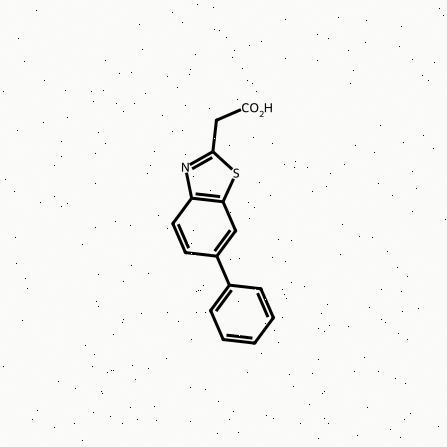 O=C(O)Cc1nc2ccc(-c3ccccc3)cc2s1